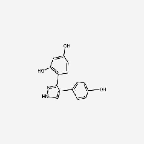 Oc1ccc(-c2c[nH]nc2-c2ccc(O)cc2O)cc1